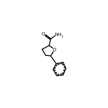 NC(=O)C1CCC(c2ccccc2)O1